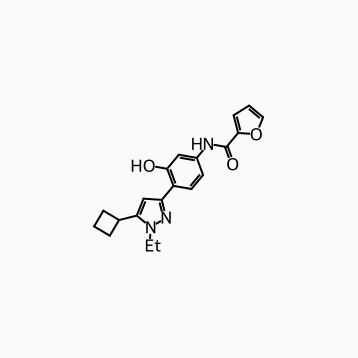 CCn1nc(-c2ccc(NC(=O)c3ccco3)cc2O)cc1C1CCC1